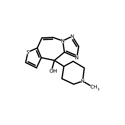 CN1CCC(C2(O)c3ccsc3C=Cn3ncnc32)CC1